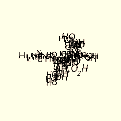 NC(=O)OCCSSC[C@@H](NC(=O)[C@H](CCC(=O)NC[C@H](O)C[C@H](O)[C@H](O)CO)NC(=O)[C@@H](CCC(=O)O)NC(=O)[C@H](CCC(=O)NC[C@H](O)C[C@H](O)[C@H](O)CO)NC(=O)[C@@H](CCC(=O)O)NC(=O)[C@H](CCC(=O)NC[C@H](O)[C@@H](O)[C@H](O)[C@H](O)CO)NC(=O)CC[C@@H](NC(=O)c1ccc(NCc2cnc3cc(N)[nH]c(=O)c3n2)cc1)C(=O)O)C(=O)O